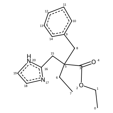 CCOC(=O)C(CC)(Cc1ccccc1)Cc1ncc[nH]1